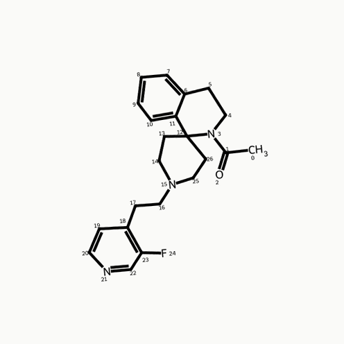 CC(=O)N1CCc2ccccc2C12CCN(CCc1ccncc1F)CC2